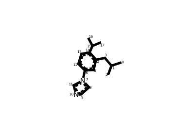 CC(C)Cc1cc(-n2ccnc2)ccc1C(C)C